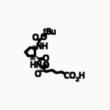 CC(C)(C)OC(=O)N[C@H]1CCC[C@H]1C(=O)NS(=O)(=O)CCCCC(=O)O